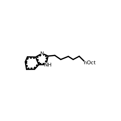 CCCCCCCCCCCCCc1nc2ccccc2[nH]1